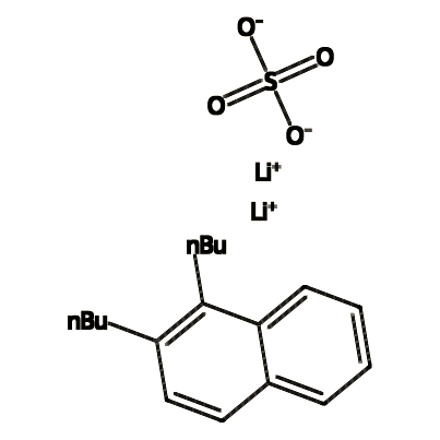 CCCCc1ccc2ccccc2c1CCCC.O=S(=O)([O-])[O-].[Li+].[Li+]